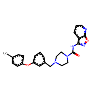 O=C(Nc1noc2ncccc12)N1CCN(Cc2cccc(Oc3ccc(C(F)(F)F)cc3)c2)CC1